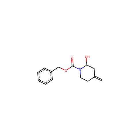 C=C1CCN(C(=O)OCc2ccccc2)C(O)C1